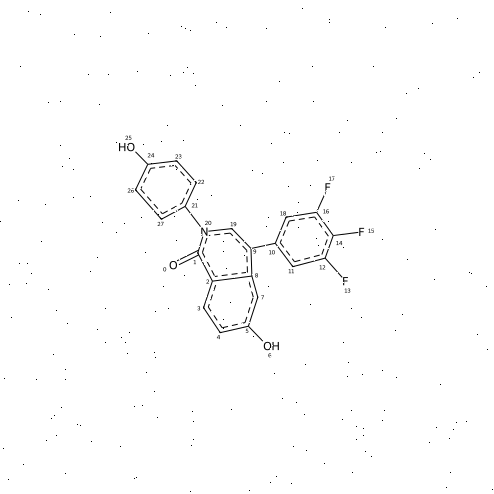 O=c1c2ccc(O)cc2c(-c2cc(F)c(F)c(F)c2)cn1-c1ccc(O)cc1